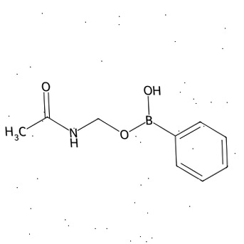 CC(=O)NCOB(O)c1ccccc1